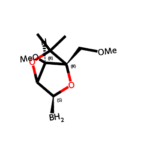 B[C@@H]1O[C@]2(COC)[C@H](OC)C1OC2(C)C